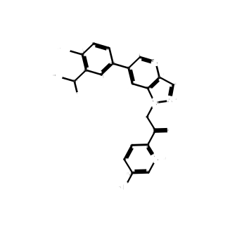 O=C(Cn1ncc2ncc(-c3ccc(F)c(C(F)F)c3)cc21)c1ccc(F)cn1